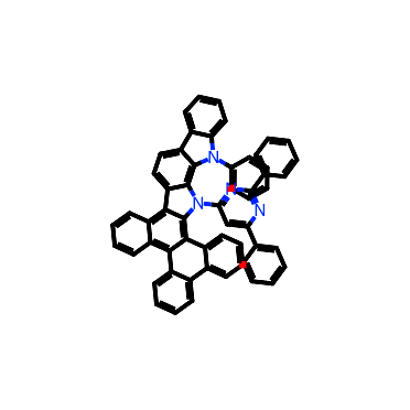 c1ccc(-c2cc(-n3c4c(c5ccccc5c5c6ccccc6c6ccccc6c54)c4ccc5c6ccccc6n(-c6ccccc6)c5c43)nc(-c3ccccc3)n2)cc1